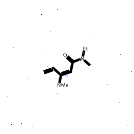 C=C/C(=C\C(=O)N(C)CC)NC